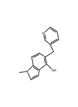 Cn1ccc2c(O)c(Cc3cccnc3)ccc21